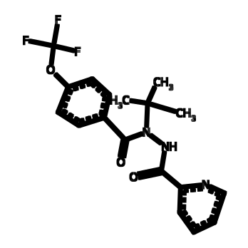 CC(C)(C)N(NC(=O)c1ccccn1)C(=O)c1ccc(OC(F)(F)F)cc1